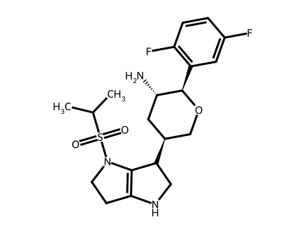 CC(C)S(=O)(=O)N1CCC2=C1C([C@@H]1CO[C@H](c3cc(F)ccc3F)[C@@H](N)C1)CN2